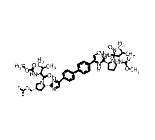 C=C(N/C(=C\C)c1ccc(-c2ccc(-c3cnc([C@@H]4C[C@H](COC(F)F)CN4C(=O)[C@@H](NC(=O)OC)C(C)C)[nH]3)cc2)cc1)[C@@H]1CCCN1C(C)(N=O)[C@@H](NC(=O)OC)C(C)C